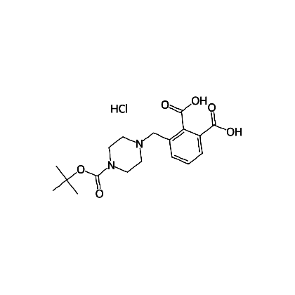 CC(C)(C)OC(=O)N1CCN(Cc2cccc(C(=O)O)c2C(=O)O)CC1.Cl